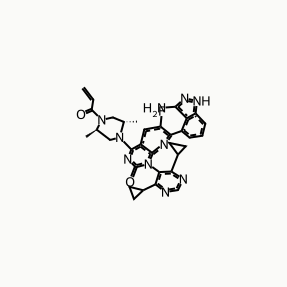 C=CC(=O)N1C[C@H](C)N(c2nc(=O)n(-c3c(C4CC4)ncnc3C3CC3)c3nc(-c4cccc5[nH]nc(N)c45)c(F)cc23)C[C@H]1C